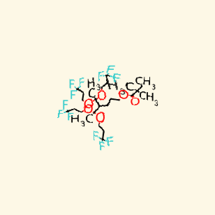 CCC(C)(C)C(=O)OCCCC(C(C)(OCCC(F)(F)F)OCCC(F)(F)F)C(C)(OCCC(F)(F)F)OCCC(F)(F)F